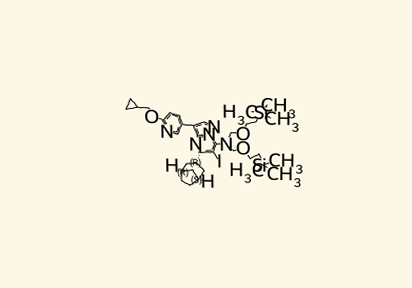 C[Si](C)(C)CCOCN(COCC[Si](C)(C)C)c1c(I)c([C@H]2C[C@@H]3CC[C@@H](C3)C2)nc2c(-c3ccc(OCC4CC4)nc3)cnn12